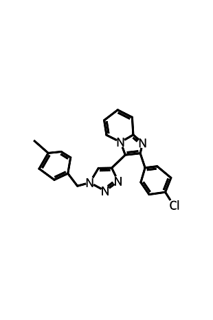 Cc1ccc(Cn2cc(-c3c(-c4ccc(Cl)cc4)nc4ccccn34)nn2)cc1